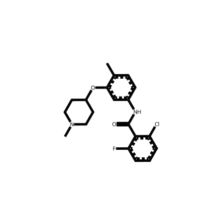 Cc1ccc(NC(=O)c2c(F)cccc2Cl)cc1OC1CCN(C)CC1